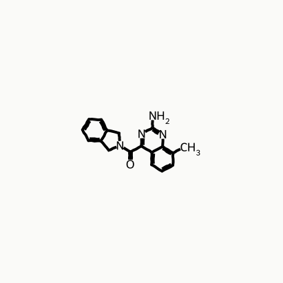 Cc1cccc2c(C(=O)N3Cc4ccccc4C3)nc(N)nc12